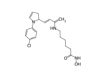 C=C(/C=C/C1CC=CN1c1ccc(Cl)cc1)NCCCCCC(=O)NO